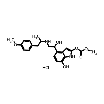 COC(=O)Oc1cc2c(C(O)CNC(C)Cc3ccc(OC)cc3)ccc(O)c2[nH]1.Cl